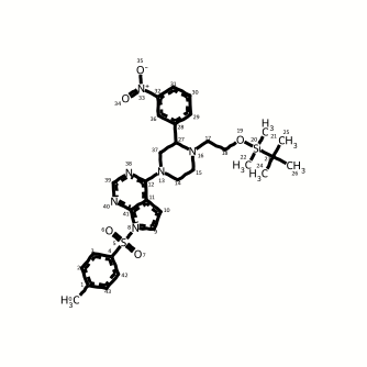 Cc1ccc(S(=O)(=O)n2ccc3c(N4CCN(CCO[Si](C)(C)C(C)(C)C)C(c5cccc([N+](=O)[O-])c5)C4)ncnc32)cc1